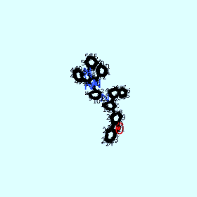 c1ccc(-c2nc(-c3cccc(-n4c5ccc(-c6ccc7oc8ccccc8c7c6)cc5c5c6ccccc6ccc54)c3)nc3c4ccccc4n(-c4ccccc4)c23)cc1